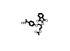 CC(=N)c1ccc(OCC(CCOC(C)=O)ON2C(=O)c3ccccc3C2=O)cc1